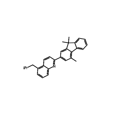 Cc1cc(-c2ccc3c(CC(C)C)cccc3n2)cc2c1-c1ccccc1C2(C)C